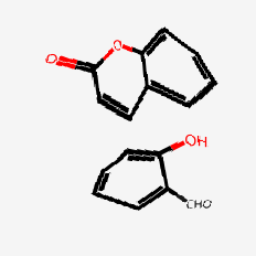 O=Cc1ccccc1O.O=c1ccc2ccccc2o1